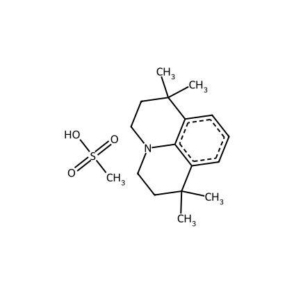 CC1(C)CCN2CCC(C)(C)c3cccc1c32.CS(=O)(=O)O